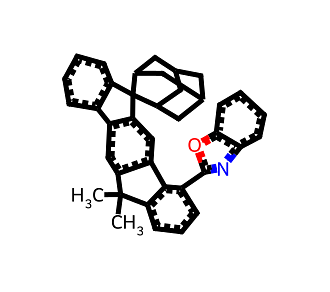 CC1(C)c2cc3c(cc2-c2c(-c4nc5ccccc5o4)cccc21)C1(c2ccccc2-3)C2CC3CC(C2)CC1C3